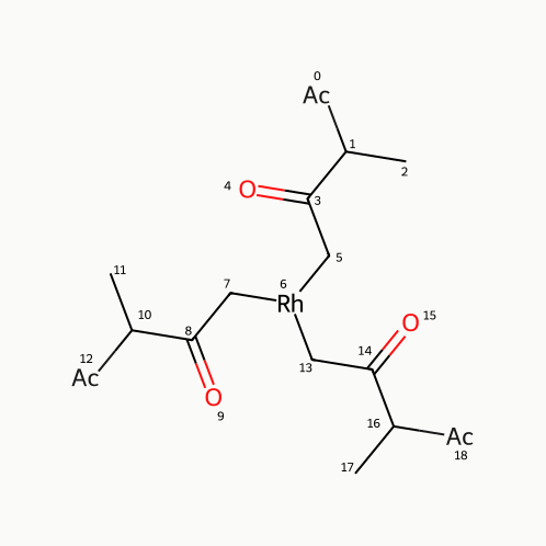 CC(=O)C(C)C(=O)[CH2][Rh]([CH2]C(=O)C(C)C(C)=O)[CH2]C(=O)C(C)C(C)=O